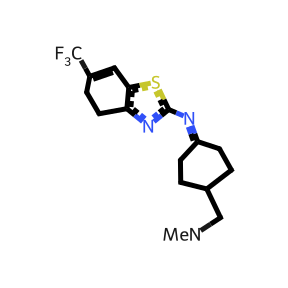 CNCC1CCC(=Nc2nc3c(s2)C=C(C(F)(F)F)CC3)CC1